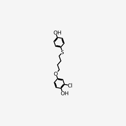 Oc1ccc(SCCCCOc2ccc(O)c(Cl)c2)cc1